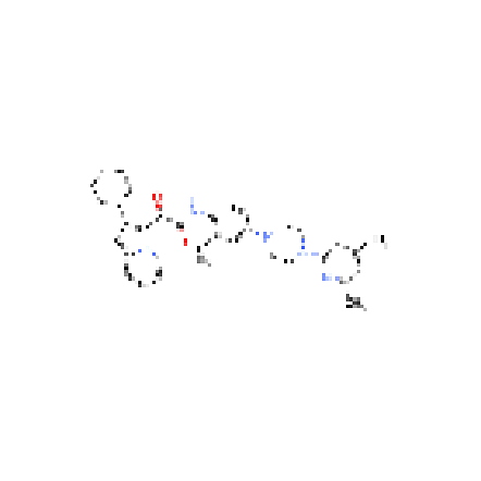 Cc1cc(C)nc(N2CCN(c3ccc(NC(=O)C(=O)c4c(C5CCCCC5)cc5ccccn45)c(C)c3)CC2)c1